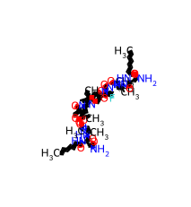 CCCCCCCC(=O)N[C@H](CC(N)=O)C(=O)N[C@H](C)CN(C)C(=O)O[C@]1(CC)C(=O)OCc2c1cc1n(c2=O)Cc2c-1nc1ccc(On3c(=O)c(F)cn(C(=O)N(C)C[C@H](C)NC(=O)[C@@H](CC(N)=O)NC(=O)CCCCCCC)c3=O)cc1c2CC